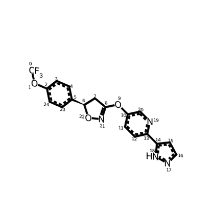 FC(F)(F)Oc1ccc([C@H]2CC(Oc3ccc(-c4ccn[nH]4)nc3)=NO2)cc1